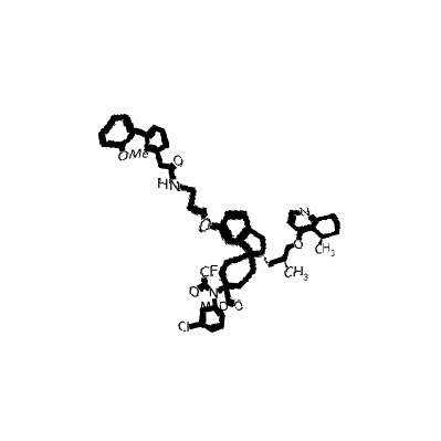 COC(=O)C1(N(C(=O)C(F)(F)F)c2cccc(Cl)c2)CCC2(CC1)c1cc(OCCCNC(=O)Cc3cccc(-c4ccccc4OC)c3)ccc1C[C@@H]2C[C@@H](C)COc1ccnc2c1[C@H](C)CCC2